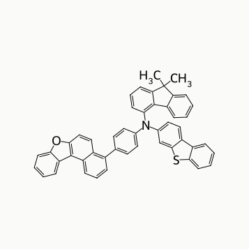 CC1(C)c2ccccc2-c2c(N(c3ccc(-c4cccc5c4ccc4oc6ccccc6c45)cc3)c3ccc4c(c3)sc3ccccc34)cccc21